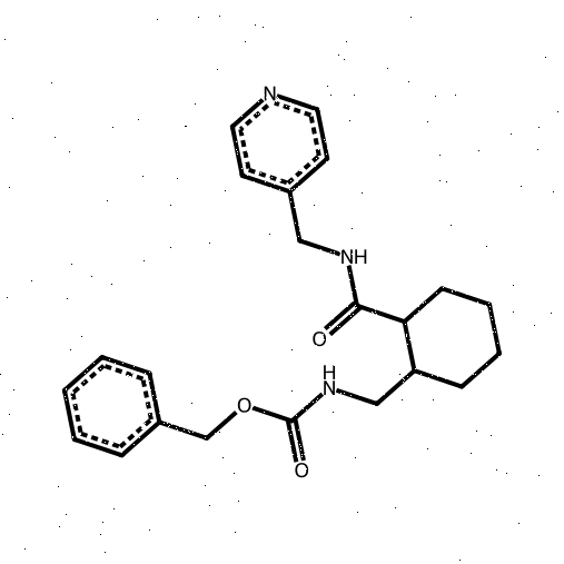 O=C(NCC1CCCCC1C(=O)NCc1ccncc1)OCc1ccccc1